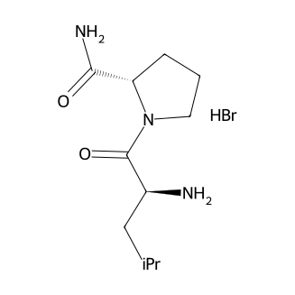 Br.CC(C)C[C@H](N)C(=O)N1CCC[C@H]1C(N)=O